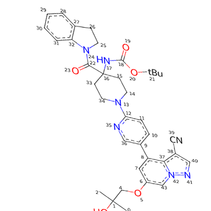 CC(C)(O)COc1cc(-c2ccc(N3CCC(NC(=O)OC(C)(C)C)(C(=O)N4CCc5ccccc54)CC3)nc2)c2c(C#N)cnn2c1